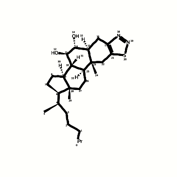 CC(C)CCC[C@@H](C)[C@H]1CC[C@H]2[C@@H]3[C@@H](O)[C@H](O)[C@H]4Cc5nnsc5C[C@]4(C)[C@H]3CC[C@]12C